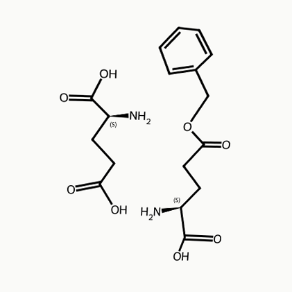 N[C@@H](CCC(=O)O)C(=O)O.N[C@@H](CCC(=O)OCc1ccccc1)C(=O)O